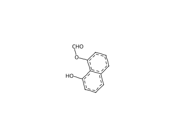 O=COc1cccc2cccc(O)c12